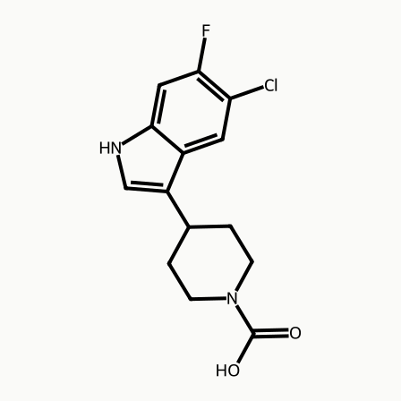 O=C(O)N1CCC(c2c[nH]c3cc(F)c(Cl)cc23)CC1